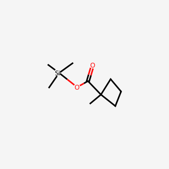 CC1(C(=O)O[Si](C)(C)C)CCC1